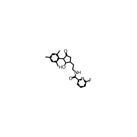 Cc1cc(C)c(C2C(=O)CC(CCNC(=O)c3cccc(F)n3)C2O)c(C)c1